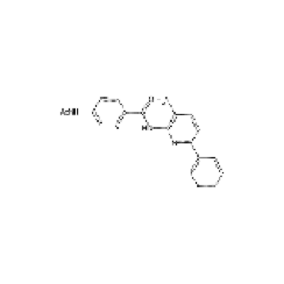 CC(=O)Nc1ccc(C(=O)Nc2nc(-c3ccccc3)ccc2N)nc1